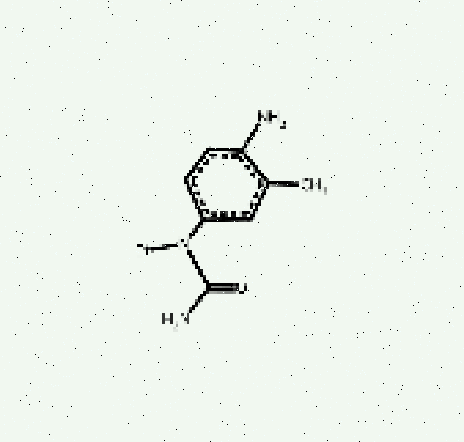 CCN(C(N)=O)c1ccc(N)c(C)c1